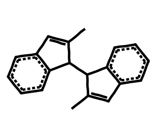 CC1=Cc2ccccc2C1C1C(C)=Cc2ccccc21